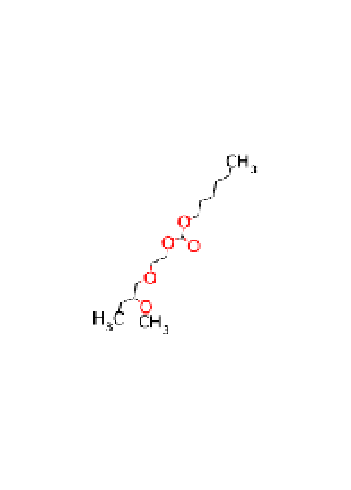 CCCCCCOC(=O)OCCOCC(CC)OC